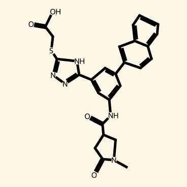 CN1CC(C(=O)Nc2cc(-c3ccc4ccccc4c3)cc(-c3nnc(SCC(=O)O)[nH]3)c2)CC1=O